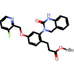 CCCCOC(=O)CCc1ccc(OCc2ncccc2F)cc1N1Cc2ccccc2NC1=O